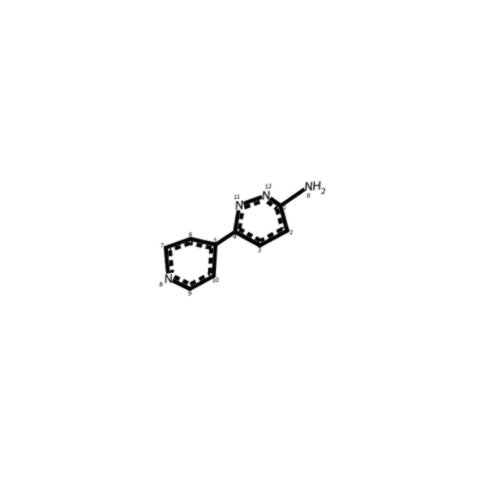 Nc1ccc(-c2ccncc2)nn1